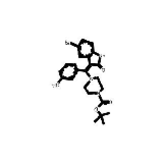 CC(C)(C)OC(=O)N1CCN(/C(=C2\C(=O)Nc3ccc(Br)cc32)c2cccc(O)c2)CC1